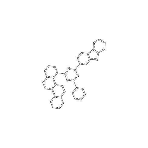 c1ccc(-c2nc(-c3ccc4c(c3)sc3ccccc34)nc(-c3cccc4ccc5c6ccccc6ccc5c34)n2)cc1